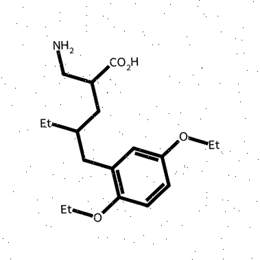 CCOc1ccc(OCC)c(CC(CC)CC(CN)C(=O)O)c1